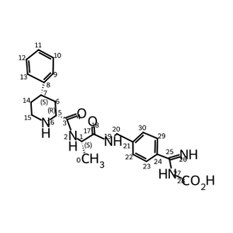 C[C@H](NC(=O)[C@H]1C[C@@H](c2ccccc2)CCN1)C(=O)NCc1ccc(C(=N)NC(=O)O)cc1